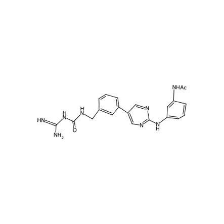 CC(=O)Nc1cccc(Nc2ncc(-c3cccc(CNC(=O)NC(=N)N)c3)cn2)c1